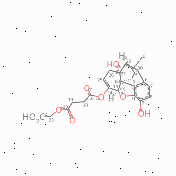 CC1CC[C@]23c4c5ccc(O)c4O[C@H]2C(OC(=O)CCC(=O)OCC(=O)O)=CC[C@@]3(O)[C@H]1C5